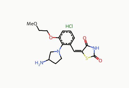 COCCOc1cccc(/C=C2/SC(=O)NC2=O)c1N1CCC(N)C1.Cl